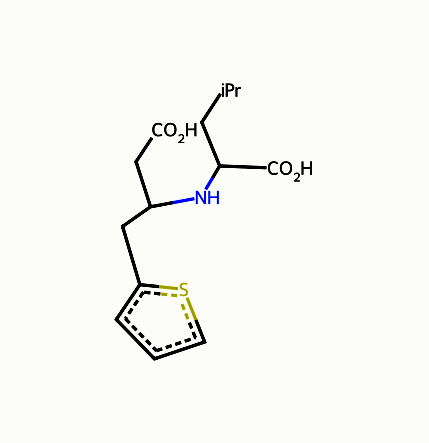 CC(C)CC(NC(CC(=O)O)Cc1cccs1)C(=O)O